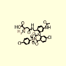 CC(=O)Nc1ccc(CNC(=O)C[C@H](N)C(=O)O)c(-n2c(=O)n(S(=O)(=O)c3ccc(Cl)cc3)c(=O)c3ccc(Cl)cc32)c1